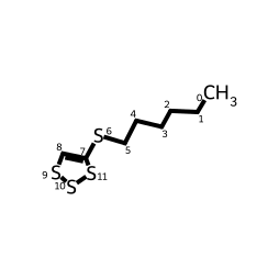 CCCCCCSC1=CSSS1